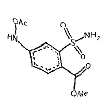 COC(=O)c1ccc(NOC(C)=O)cc1S(N)(=O)=O